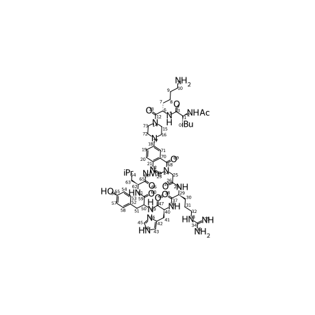 CC[C@H](C)[C@H](NC(C)=O)C(=O)N[C@@H](CCCCN)C(=O)N1CCN(c2ccc3ncn(CC(=O)N[C@@H](CCCNC(=N)N)C(=O)N[C@@H](Cc4c[nH]cn4)C(=O)NC(Cc4ccc(O)cc4)C(=O)N[C@@H](CC(C)C)C(=O)NC)c(=O)c3c2)CC1